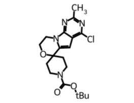 Cc1nc(Cl)c2cc3n(c2n1)CCOC31CCN(C(=O)OC(C)(C)C)CC1